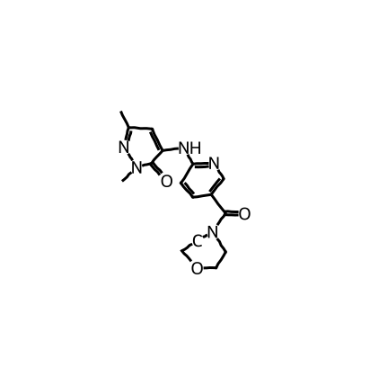 Cc1cc(Nc2ccc(C(=O)N3CCOCC3)cn2)c(=O)n(C)n1